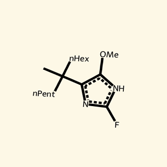 CCCCCCC(C)(CCCCC)c1nc(F)[nH]c1OC